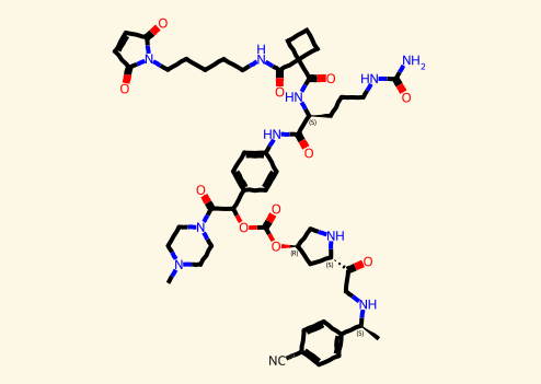 C[C@H](NCC(=O)[C@@H]1C[C@@H](OC(=O)OC(C(=O)N2CCN(C)CC2)c2ccc(NC(=O)[C@H](CCCNC(N)=O)NC(=O)C3(C(=O)NCCCCCN4C(=O)C=CC4=O)CCC3)cc2)CN1)c1ccc(C#N)cc1